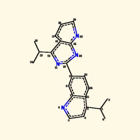 CC(C)c1ccnc2cc(-c3nc(C(C)C)c4cccnc4n3)ccc12